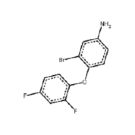 Nc1ccc(Oc2ccc(F)cc2F)c(Br)c1